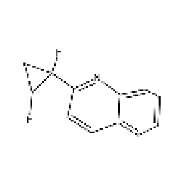 FC1CC1(F)c1ccc2ccccc2n1